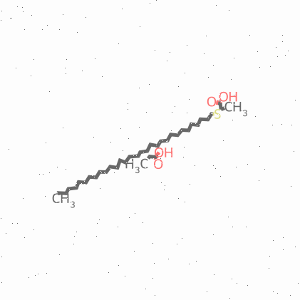 CCC(=O)O.CCCCCCCCCCCCCCCCCCCCCCCCCCCCCCCCSC(C)C(=O)O